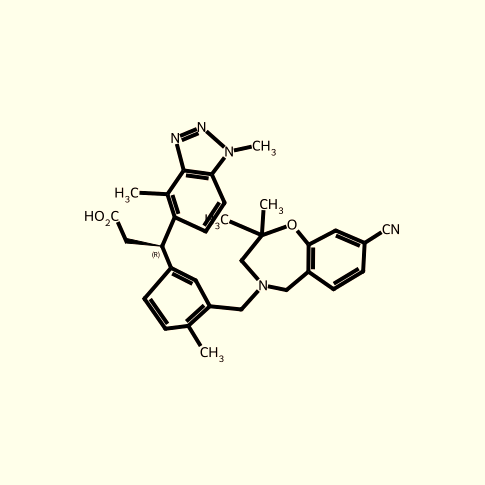 Cc1ccc([C@@H](CC(=O)O)c2ccc3c(nnn3C)c2C)cc1CN1Cc2ccc(C#N)cc2OC(C)(C)C1